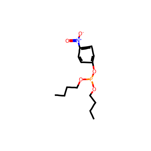 CCCCOP(OCCCC)Oc1ccc([N+](=O)[O-])cc1